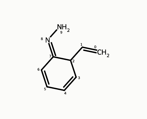 C=CC1C=CC=C/C1=N/N